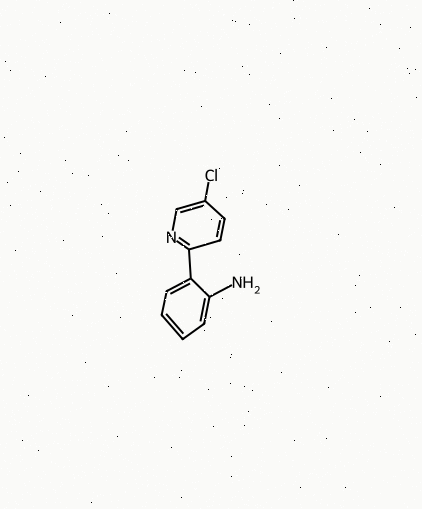 Nc1ccccc1-c1ccc(Cl)cn1